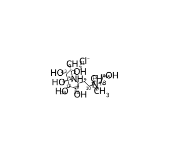 C[C@H](O)[C@@H](O)[C@](O)(NCCC[N+](C)(C)CCO)[C@H](O)CO.[Cl-]